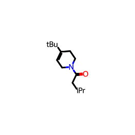 CC(C)CC(=O)N1CC=C(C(C)(C)C)CC1